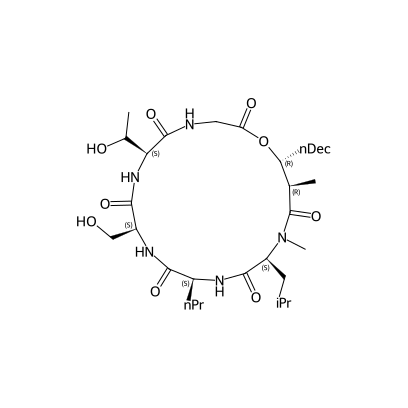 CCCCCCCCCC[C@H]1OC(=O)CNC(=O)[C@H](C(C)O)NC(=O)[C@H](CO)NC(=O)[C@H](CCC)NC(=O)[C@H](CC(C)C)N(C)C(=O)[C@@H]1C